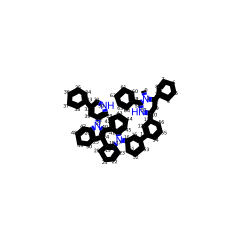 CN1C(C2=CCCC=C2)CC(C2C=C(C3=CC(N4C5=C(CCC=C5)c5c6c(n(C7=CNCC(c8ccccc8)=C7)c5-c5ccccc54)C=CCC6)CC=C3)C=CC2)NC1c1ccccc1